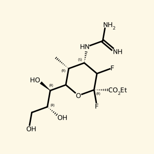 CCOC(=O)[C@]1(F)OC([C@H](O)[C@H](O)CO)[C@H](C)[C@H](NC(=N)N)C1F